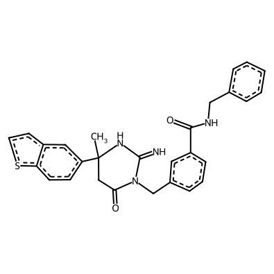 CC1(c2ccc3sccc3c2)CC(=O)N(Cc2cccc(C(=O)NCc3ccccc3)c2)C(=N)N1